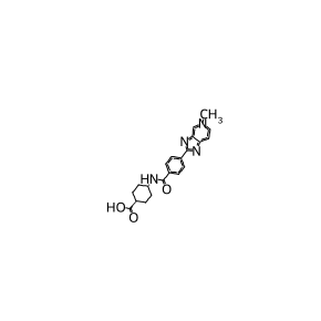 Cn1ccc2nc(-c3ccc(C(=O)N[C@H]4CC[C@H](C(=O)O)CC4)cc3)nc-2c1